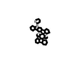 c1ccc(-n2c3ccccc3c3cc4c(cc32)-c2ccccc2C42c3ccccc3C3(c4ccccc4-c4ccccc43)c3ccccc32)nc1